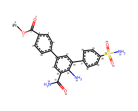 CC(C)OC(=O)c1ccc(-c2cc(C(N)=O)c(N)c(-c3ccc(S(N)(=O)=O)cc3)c2)cc1